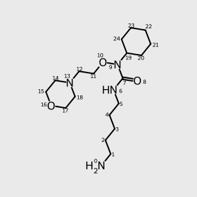 NCCCCCNC(=O)N(OCCN1CCOCC1)C1CCCCC1